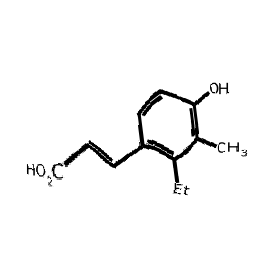 CCc1c(C=CC(=O)O)ccc(O)c1C